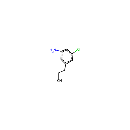 N#CCCc1cc(N)cc(Cl)c1